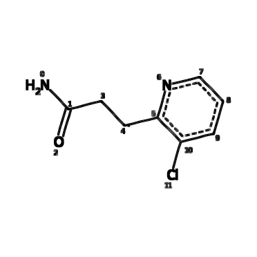 NC(=O)C[CH]c1ncccc1Cl